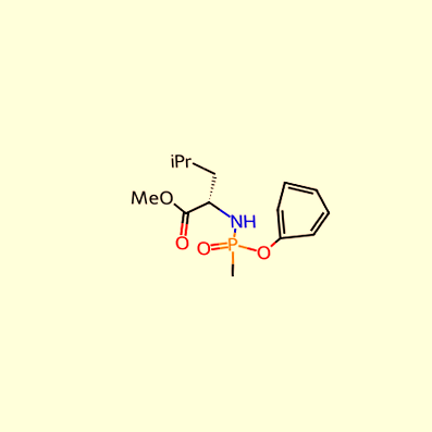 COC(=O)[C@H](CC(C)C)NP(C)(=O)Oc1ccccc1